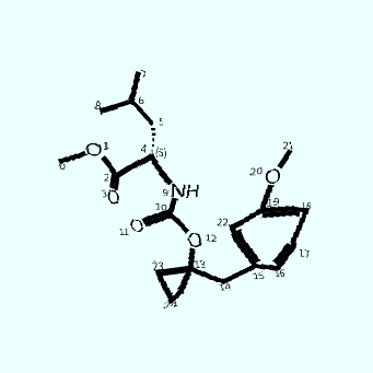 COC(=O)[C@H](CC(C)C)NC(=O)OC1(Cc2cccc(OC)c2)CC1